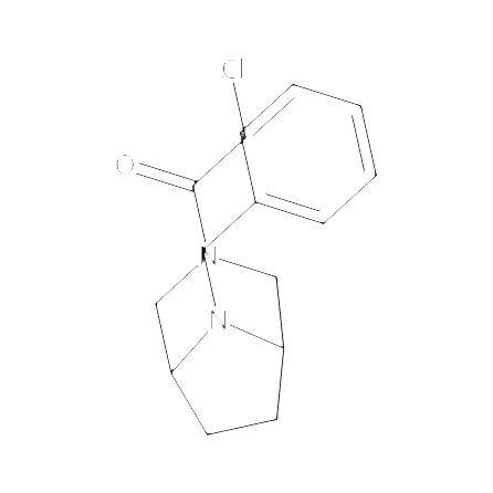 O=C(CCl)N1CC2CCC(C1)N2Cc1ccccc1